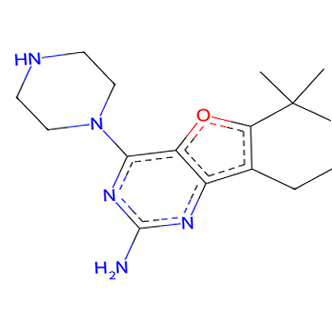 CC1(C)CCCc2c1oc1c(N3CCNCC3)nc(N)nc21